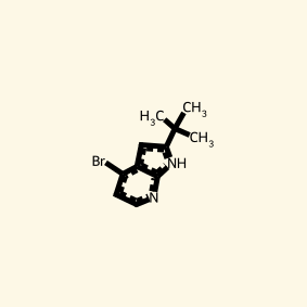 CC(C)(C)c1cc2c(Br)ccnc2[nH]1